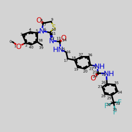 COc1ccc(N2C(=O)CSC2=NC(=O)NCCc2ccc(NC(=O)Nc3ccc(C(F)(F)F)cc3)cc2)c(C)c1